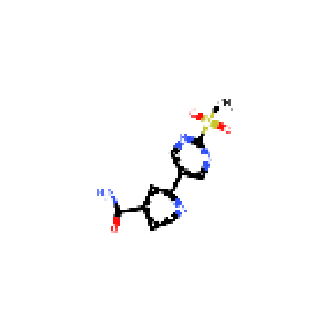 CS(=O)(=O)c1ncc(-c2cc(C(N)=O)ccn2)cn1